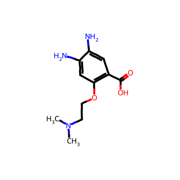 CN(C)CCOc1cc(N)c(N)cc1C(=O)O